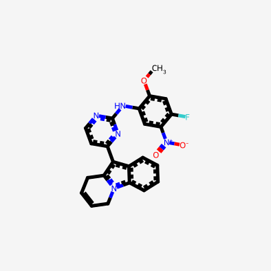 COc1cc(F)c([N+](=O)[O-])cc1Nc1nccc(-c2c3n(c4ccccc24)CC=CC3)n1